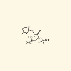 CCCC(C)(C)C[C@H](CN(O)C=O)C(=O)NNc1cc(C)ccn1